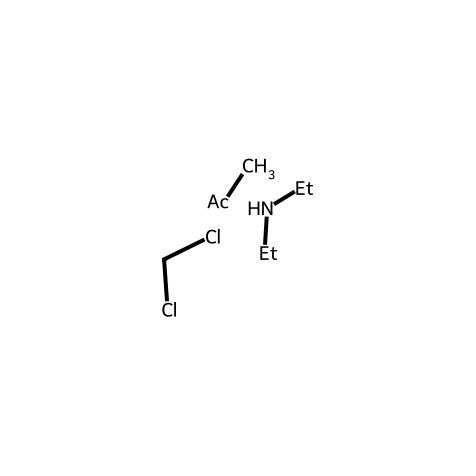 CC(C)=O.CCNCC.ClCCl